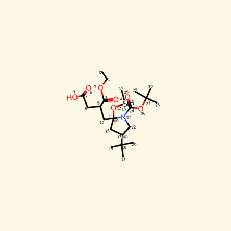 CCOC(=O)C(CC(=O)O)C[C@]1(O[SiH](C)C)C[C@H](C(C)(C)C)CN1C(=O)OC(C)(C)C